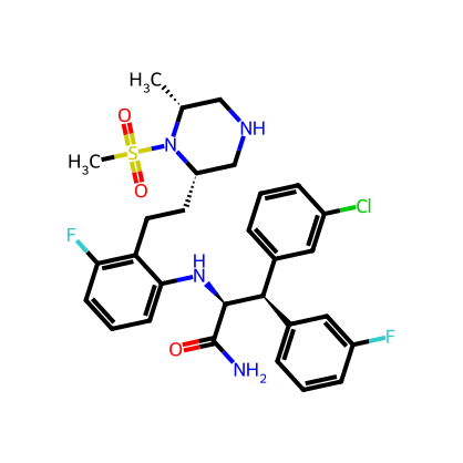 C[C@@H]1CNC[C@H](CCc2c(F)cccc2N[C@H](C(N)=O)[C@H](c2cccc(F)c2)c2cccc(Cl)c2)N1S(C)(=O)=O